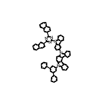 c1ccc(-c2cc(-c3ccccc3)cc(-n3c4ccccc4c4c5c6ccccc6n(-c6ccc7c(c6)c6ccccc6n7-c6nc(-c7ccc8ccccc8c7)nc(-c7ccc8ccccc8c7)n6)c5ccc43)c2)cc1